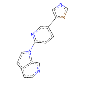 c1cc2ccn(-c3ccc(-c4cncs4)cn3)c2cn1